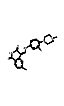 CN1CCN(c2ccc(NC=C3C(=O)NC(=O)c4ccc(I)cc43)cc2F)CC1